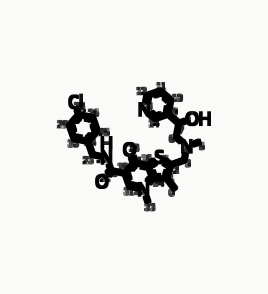 Cc1c(CN(C)CC(O)c2cccnc2)sc2c(=O)c(C(=O)NCc3ccc(Cl)cc3)cn(C)c12